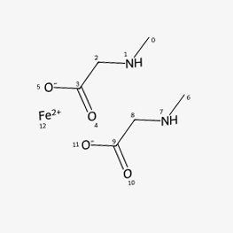 CNCC(=O)[O-].CNCC(=O)[O-].[Fe+2]